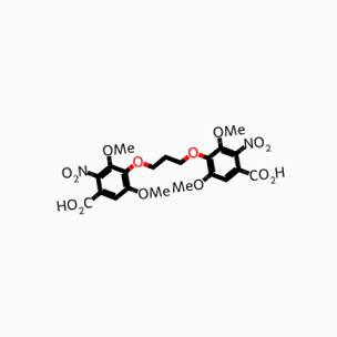 COc1cc(C(=O)O)c([N+](=O)[O-])c(OC)c1OCCCOc1c(OC)cc(C(=O)O)c([N+](=O)[O-])c1OC